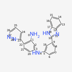 Nc1cc(Nc2cccc(-c3nc4ccccc4[nH]3)c2)ccc1-c1cccnn1